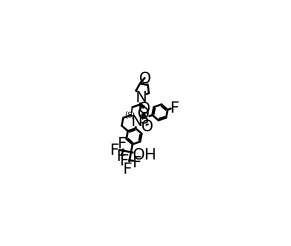 O=C(C[C@@H]1CCc2cc(C(O)(C(F)(F)F)C(F)(F)F)ccc2N1S(=O)(=O)c1ccc(F)cc1)N1CC2OC2C1